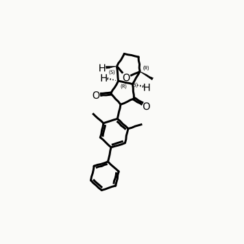 Cc1cc(-c2ccccc2)cc(C)c1C1C(=O)[C@H]2[C@@H]3CC[C@@](C)(O3)[C@H]2C1=O